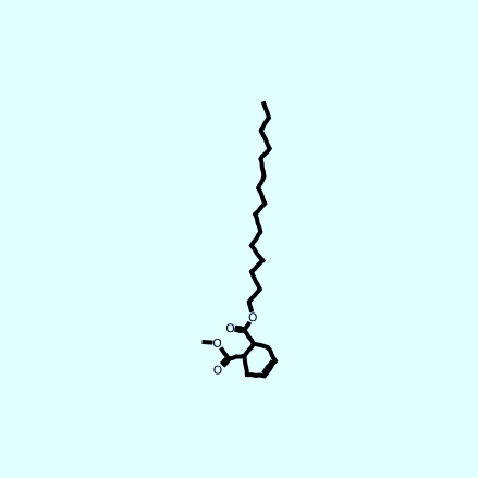 CCCCCCCCCCCCCCCOC(=O)C1CC=CCC1C(=O)OC